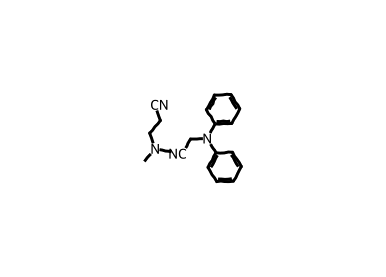 CN(C)CCC#N.N#CCN(c1ccccc1)c1ccccc1